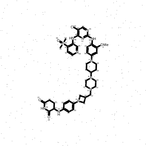 COc1cc(N2CCC(N3CCN(CC4CN(c5ccc(NC6CCC(=O)NC6=O)cc5)C4)CC3)CC2)ccc1Nc1ncc(Cl)c(Nc2cnccc2P(C)(C)=O)n1